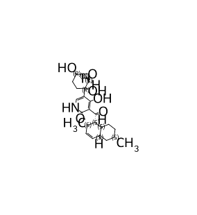 C[C@H]1CC[C@@H]2[C@@H](C(=O)c3c(O)c([C@]4(O)CC[C@@H](O)[C@H]5O[C@H]54)c[nH]c3=O)[C@@H](C)C=C[C@H]2C1